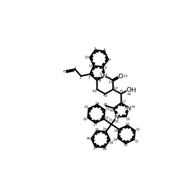 C=CCc1c2n(c3ccccc13)C(=O)C(C(O)c1ncn(C(c3ccccc3)(c3ccccc3)c3ccccc3)c1C)CC2